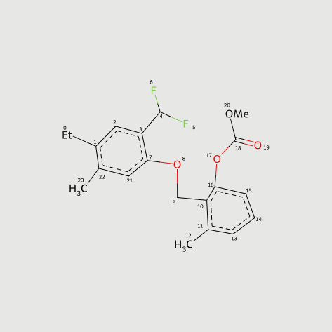 CCc1cc(C(F)F)c(OCc2c(C)cccc2OC(=O)OC)cc1C